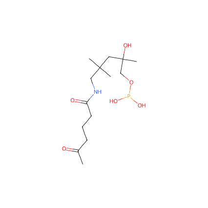 CC(=O)CCCC(=O)NCC(C)(C)CC(C)(O)COP(O)O